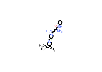 CCC(C)CC1(CC)CCN(CC2(F)CCN(/C(N)=C/C=C(\N)C(=O)NC3CCCCC3)CC2)CC1